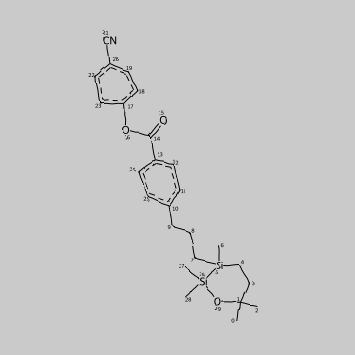 CC1(C)CC[Si](C)(CCCc2ccc(C(=O)Oc3ccc(C#N)cc3)cc2)[Si](C)(C)O1